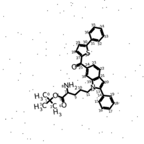 CC(C)(C)OC(=O)C(N)CCCn1c(-c2ccccc2)cc2ccc(C(=O)c3c[c]c(-c4ccccc4)s3)cc21